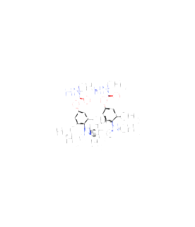 CNC(=O)Oc1cc(C)c(N(C)C)c(C)c1.CNC(=O)Oc1cc(C)c(N(C)C)c(C)c1